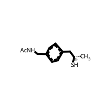 CC(=O)NCc1ccc(C[C@H](C)S)cc1